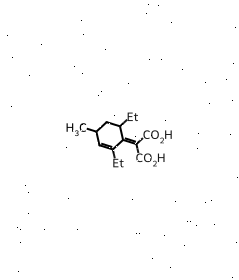 CCC1=CC(C)CC(CC)C1=C(C(=O)O)C(=O)O